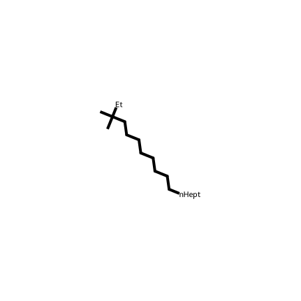 [CH2]CC(C)(C)CCCCCCCCCCCCCCC